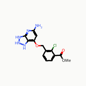 COC(=O)c1cccc(COc2cc(N)nc3c2NNN3)c1Cl